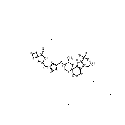 C[C@H]1C[C@@]2(CCN1Cc1cnn(CC3CC4(CCC4)C(=O)O3)c1)OCCc1c2sc(C(F)(F)F)c1CO